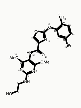 COc1nc(NCCO)nc(OC)c1NC(=O)c1csc(Oc2cc(C(C)C)ccc2C)n1